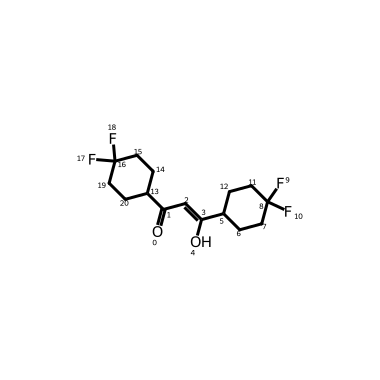 O=C(/C=C(\O)C1CCC(F)(F)CC1)C1CCC(F)(F)CC1